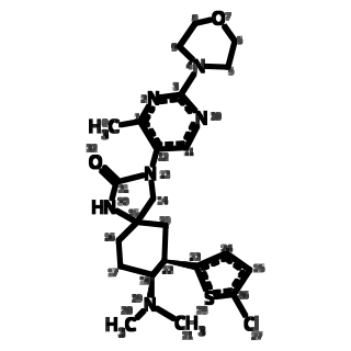 Cc1nc(N2CCOCC2)ncc1N1CC2(CC[C@H](N(C)C)[C@H](c3ccc(Cl)s3)C2)NC1=O